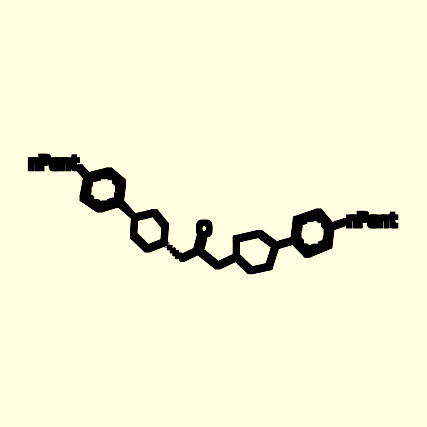 CCCCCc1ccc(C2CCC(CC(=O)C[C@H]3CC[C@H](c4ccc(CCCCC)cc4)CC3)CC2)cc1